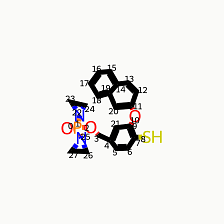 O=P(OCc1ccc(S)c(Oc2ccc3ccccc3c2)c1)(N1CC1)N1CC1